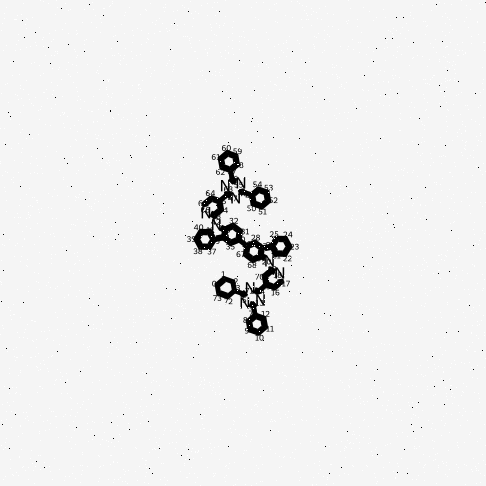 C1=CCC(c2nc(-c3ccccc3)nc(-c3ccnc(-n4c5ccccc5c5cc(-c6ccc7c(c6)c6ccccc6n7-c6cc(-c7nc(-c8ccccc8)nc(-c8ccccc8)n7)ccn6)ccc54)c3)n2)C=C1